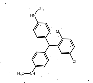 CNc1ccc(C(c2ccc(NC)cc2)c2cc(Cl)ccc2Cl)cc1